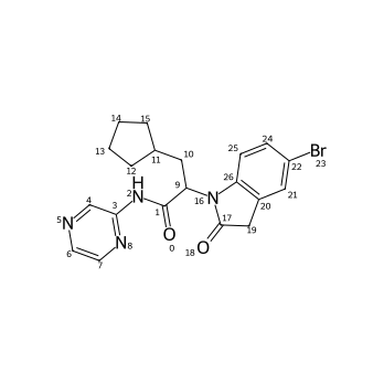 O=C(Nc1cnccn1)C(CC1CCCC1)N1C(=O)Cc2cc(Br)ccc21